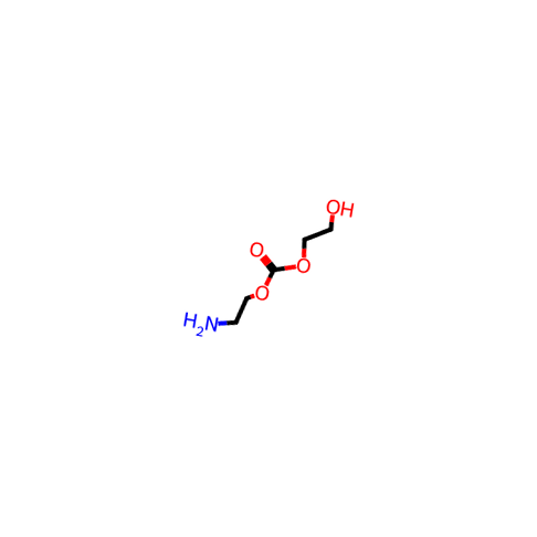 NCCOC(=O)OCCO